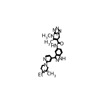 CCN1CCN(c2cc(-c3n[nH]c4ccc(NC(=O)C5=C(C)N(C)c6nnnn6C5)cc34)ccn2)C[C@@H]1C